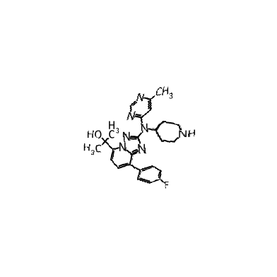 Cc1cc(N(c2nc3c(-c4ccc(F)cc4)ccc(C(C)(C)O)n3n2)C2CCNCC2)ncn1